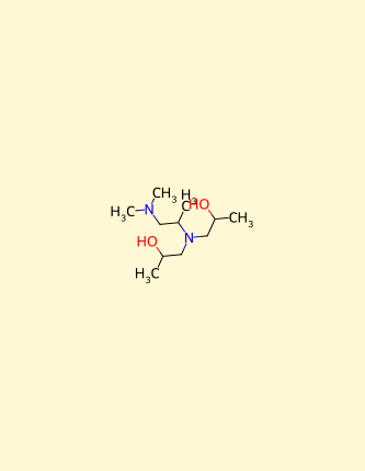 CC(O)CN(CC(C)O)C(C)CN(C)C